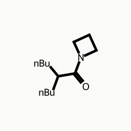 CCCCC(CCCC)C(=O)N1CCC1